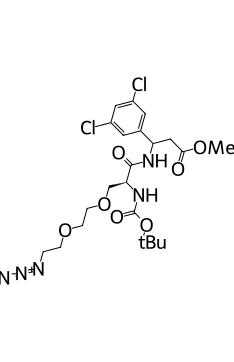 COC(=O)CC(NC(=O)[C@H](COCCOCCN=[N+]=[N-])NC(=O)OC(C)(C)C)c1cc(Cl)cc(Cl)c1